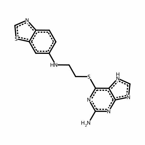 Nc1nc(SCCNc2ccc3ncsc3c2)c2[nH]cnc2n1